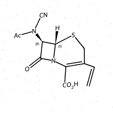 C=CC1=C(C(=O)O)N2C(=O)[C@@H](N(C#N)C(C)=O)[C@@H]2SC1